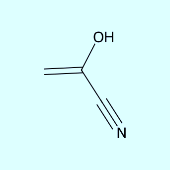 C=C(O)C#N